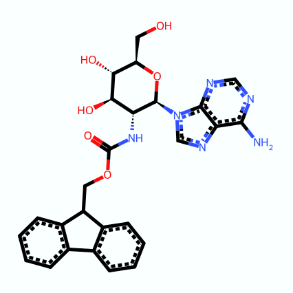 Nc1ncnc2c1ncn2[C@@H]1O[C@H](CO)[C@@H](O)[C@H](O)[C@H]1NC(=O)OCC1c2ccccc2-c2ccccc21